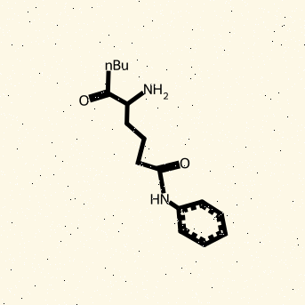 CCCCC(=O)C(N)CCCC(=O)Nc1ccccc1